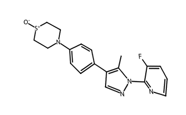 Cc1c(-c2ccc(N3CC[S+]([O-])CC3)cc2)cnn1-c1ncccc1F